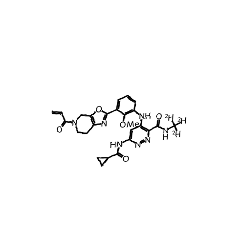 [2H]C([2H])([2H])NC(=O)c1nnc(NC(=O)C2CC2)cc1Nc1cccc(-c2nc3c(o2)CN(C(=O)C=C)CC3)c1OC